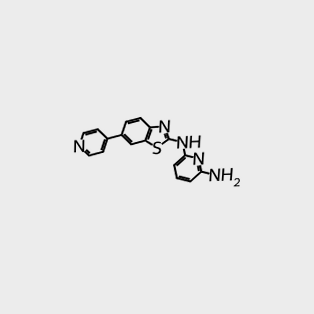 Nc1cccc(Nc2nc3ccc(-c4ccncc4)cc3s2)n1